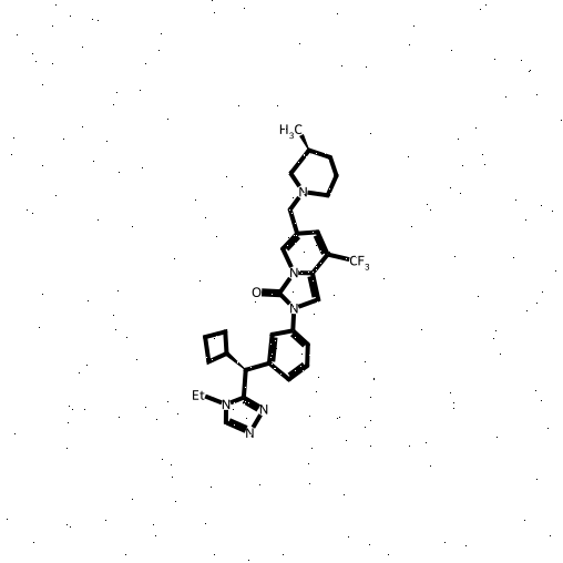 CCn1cnnc1[C@H](c1cccc(-n2cc3c(C(F)(F)F)cc(CN4CCC[C@H](C)C4)cn3c2=O)c1)C1CCC1